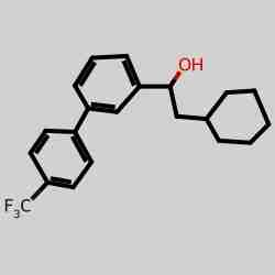 OC(CC1CCCCC1)c1cccc(-c2ccc(C(F)(F)F)cc2)c1